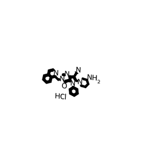 Cl.N#Cc1c(N2CCC[C@H](N)C2)n(-c2ccccc2)c2c(=O)n(Cc3nccc4ccccc34)cnc12